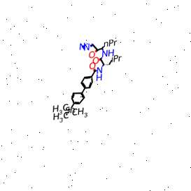 CCCC(NC(=O)[C@H](CC(C)C)NC(=O)c1ccc(-c2cc[c]([Sn]([CH3])([CH3])[CH3])cc2)cc1)C(=O)C=[N+]=[N-]